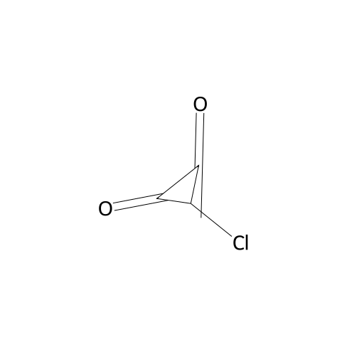 O=C1C(=O)C1Cl